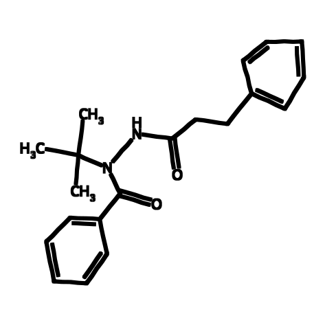 CC(C)(C)N(NC(=O)CCc1ccccc1)C(=O)c1ccccc1